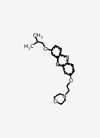 CC(C)COc1ccc2nc3ccc(OCCN4CCOCC4)cc3nc2c1